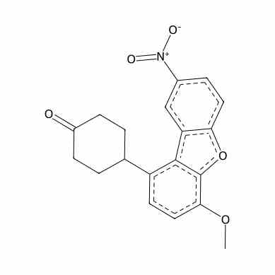 COc1ccc(C2CCC(=O)CC2)c2c1oc1ccc([N+](=O)[O-])cc12